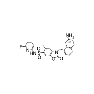 Cc1cc2c(cc1S(=O)(=O)Nc1cccc(F)n1)oc(=O)n2Cc1cccc2c1C[C@@H](N)CC2